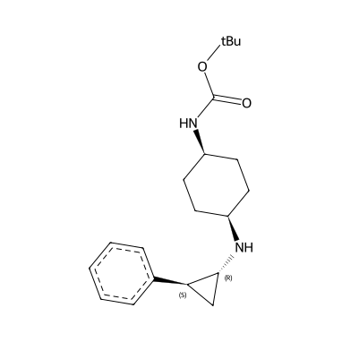 CC(C)(C)OC(=O)N[C@H]1CC[C@@H](N[C@@H]2C[C@H]2c2ccccc2)CC1